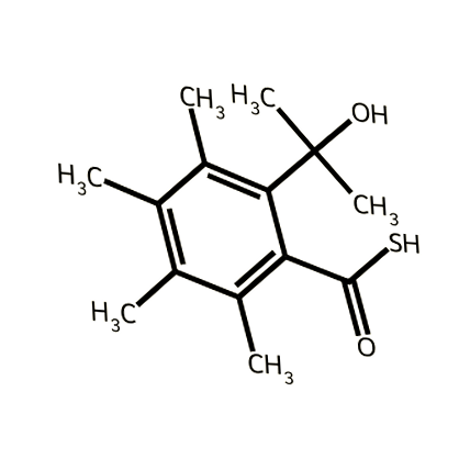 Cc1c(C)c(C)c(C(C)(C)O)c(C(=O)S)c1C